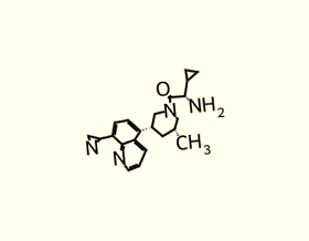 C[C@@H]1C[C@H](c2ccc(C3=NC3)c3ncccc23)CN(C(=O)[C@@H](N)C2CC2)C1